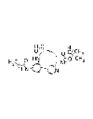 COC(=O)Nc1ccc2c(c1)NC(=O)[C@H](C)C=CC[C@H](NC(=O)OC(C)(C)C)c1cc-2ccn1